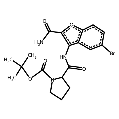 CC(C)(C)OC(=O)N1CCCC1C(=O)Nc1c(C(N)=O)oc2ccc(Br)cc12